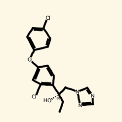 CC[C@](O)(Cn1cncn1)c1ccc(Oc2ccc(Cl)cc2)cc1Cl